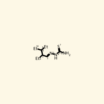 CCC(C=NNC(N)=S)C(CC)CC